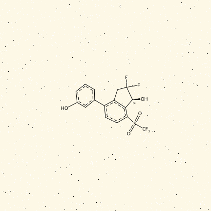 O=S(=O)(c1ccc(-c2cccc(O)c2)c2c1[C@H](O)C(F)(F)C2)C(F)(F)F